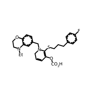 CCN1CCOc2ccc(CN3CC=CC(OC(=O)O)=C3SCCCc3ccc(F)cc3)cc21